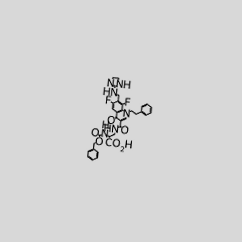 O=C(NC(CNC(=O)c1cn(CCc2ccccc2)c2c(F)c(CNC3=NCCN3)c(F)cc2c1=O)C(=O)O)OCc1ccccc1